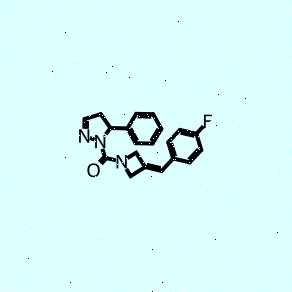 O=C(N1CC(=Cc2ccc(F)cc2)C1)N1N=CCC1c1ccccc1